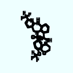 O=C(NN1CCOCC1)c1cccc2c1N(S(=O)(=O)c1ccc(OC(F)(F)F)cc1)Cc1ccc(C(F)(F)F)nc1N2